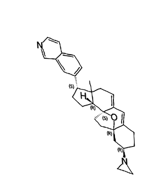 CC12CC=C3C=C4CC[C@@H](N5CC5)C[C@]45CC[C@]3(O5)[C@@H]1CC[C@@H]2c1ccc2ccncc2c1